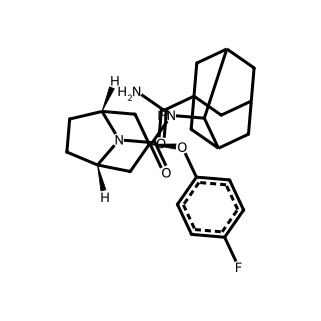 NC(=O)C12CC3CC(C1)C(NC(=O)N1[C@@H]4CC[C@H]1C[C@H](Oc1ccc(F)cc1)C4)C(C3)C2